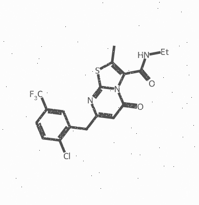 CCNC(=O)c1c(C)sc2nc(Cc3cc(C(F)(F)F)ccc3Cl)cc(=O)n12